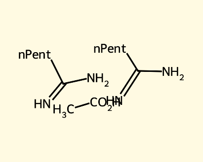 CC(=O)O.CCCCCC(=N)N.CCCCCC(=N)N